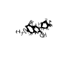 Cc1cc(Br)c2cc(-c3ccc(F)cc3)c(CO)nc2c1